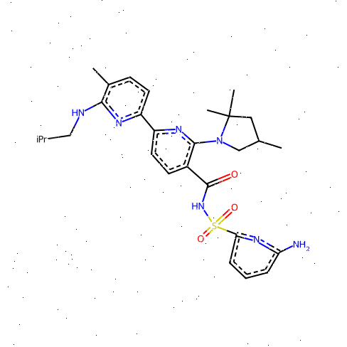 Cc1ccc(-c2ccc(C(=O)NS(=O)(=O)c3cccc(N)n3)c(N3CC(C)CC3(C)C)n2)nc1NCC(C)C